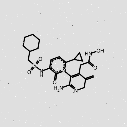 C=C1CN=C(N)C(n2c(C3CC3)ccc(NS(=O)(=O)CC3CCCCC3)c2=O)=C1CC(=O)NO